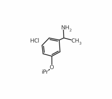 CC(C)Oc1cccc(C(C)N)c1.Cl